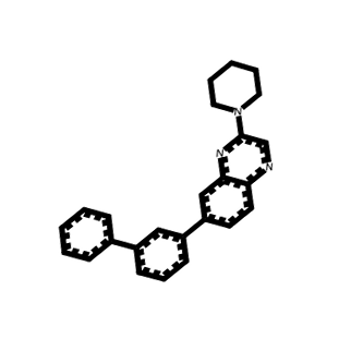 c1ccc(-c2cccc(-c3ccc4ncc(N5CCCCC5)nc4c3)c2)cc1